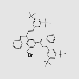 CC(C)(C)c1cc(C=CC(=Cc2ccccc2)c2cc(CBr)cc(C(C=Cc3cc(C(C)(C)C)cc(C(C)(C)C)c3)=Cc3ccccc3)c2)cc(C(C)(C)C)c1